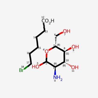 N[C@H]1C(O)O[C@H](CO)[C@@H](O)[C@@H]1O.O=C(O)CCCCCBr